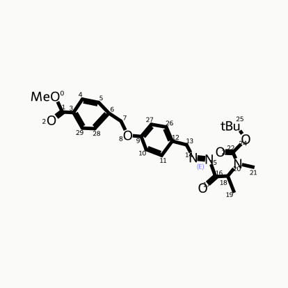 COC(=O)c1ccc(COc2ccc(C/N=N/C(=O)C(C)N(C)C(=O)OC(C)(C)C)cc2)cc1